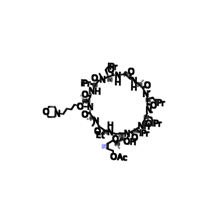 CC[C@@H]1NC(=O)[C@H]([C@H](O)[C@H](C)C/C=C\COC(C)=O)N(C)C(=O)[C@H](C(C)C)NC(=O)[C@H](CC(C)C)N(C)C(=O)[C@H](CC(C)C)N(C)C(=O)[C@@H](C)NC(=O)[C@H](C)NC(=O)[C@H](CC(C)C)N(C)C(=O)[C@H](C(C)C)NC(=O)[C@H]([C@@H](C)OCCCCN2CCOCC2)N(C)C(=O)[C@@H](C)N(C)C1=O